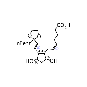 CCCCCC1(/C=C/[C@@H]2[C@@H](C/C=C\CCCC(=O)O)[C@@H](O)C[C@H]2O)OCCO1